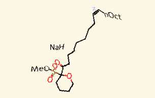 CCCCCCCC/C=C\CCCCCCCC(=O)C1(S(=O)(=O)OC)CCCCO1.[NaH]